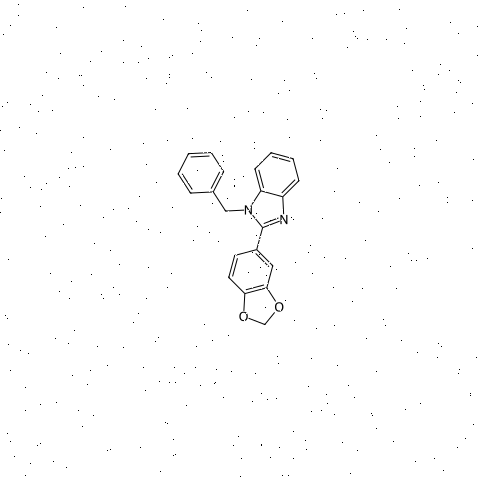 c1ccc(Cn2c(-c3ccc4c(c3)OCO4)nc3ccccc32)cc1